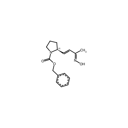 CC(C=C[C@@H]1CCCN1C(=O)OCc1ccccc1)=NO